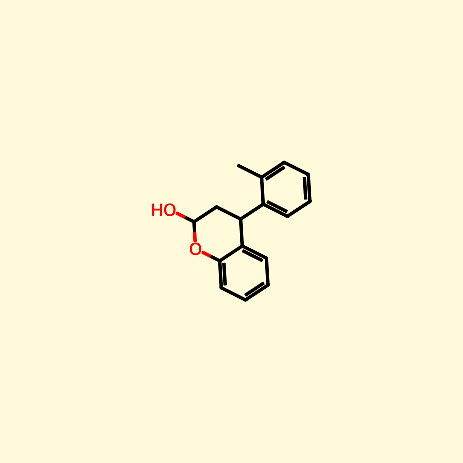 Cc1ccccc1C1CC(O)Oc2ccccc21